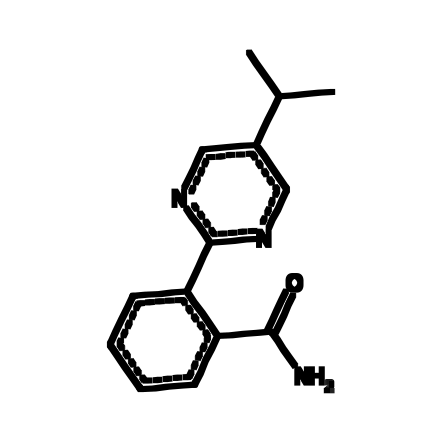 CC(C)c1cnc(-c2ccccc2C(N)=O)nc1